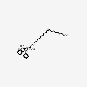 CCCCCCCC/C=C\CCCCCCCCOC[C@@H](O)CO[Si](c1ccccc1)(c1ccccc1)C(C)(C)C